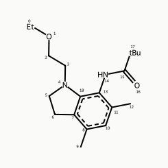 CCOCCN1CCc2c(C)cc(C)c(NC(=O)C(C)(C)C)c21